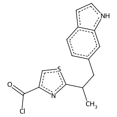 CC(Cc1ccc2cc[nH]c2c1)c1nc(C(=O)Cl)cs1